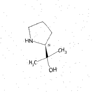 CC(C)(O)[C@@H]1CCCN1